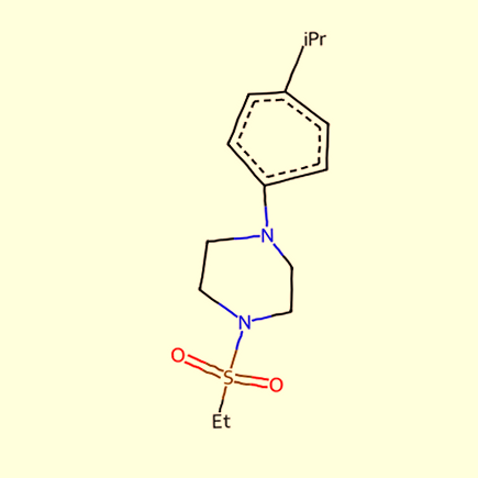 CCS(=O)(=O)N1CCN(c2ccc(C(C)C)cc2)CC1